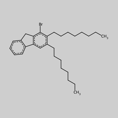 CCCCCCCCc1cc2c(c(Br)c1CCCCCCCC)Cc1ccccc1-2